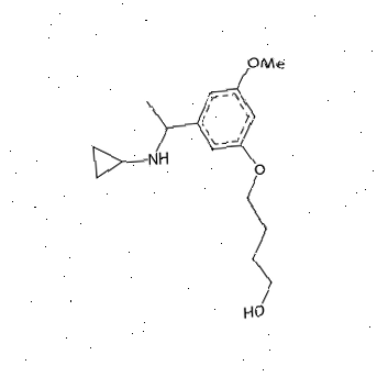 COc1cc(OCCCCO)cc(C(C)NC2CC2)c1